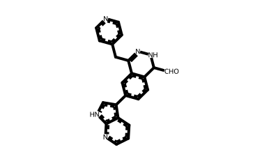 O=CC1NN=C(Cc2ccncc2)c2cc(-c3c[nH]c4ncccc34)ccc21